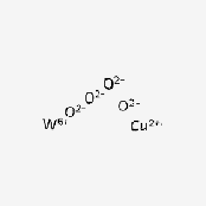 [Cu+2].[O-2].[O-2].[O-2].[O-2].[W+6]